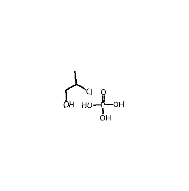 CC(Cl)CO.O=P(O)(O)O